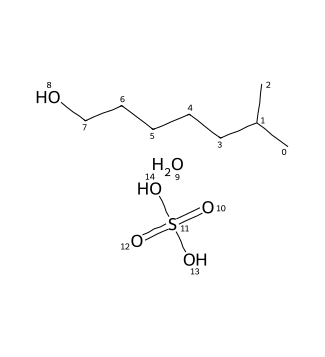 CC(C)CCCCCO.O.O=S(=O)(O)O